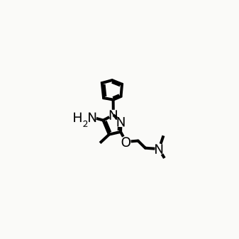 Cc1c(OCCN(C)C)nn(-c2ccccc2)c1N